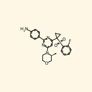 C[C@H]1COCCN1c1cc(C2(S(=O)(=O)c3ccccc3F)CC2)nc(-c2ccc(N)cc2)n1